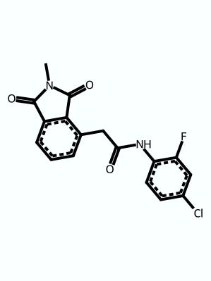 CN1C(=O)c2cccc(CC(=O)Nc3ccc(Cl)cc3F)c2C1=O